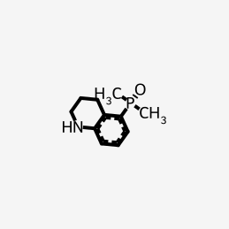 CP(C)(=O)c1cccc2c1CCCN2